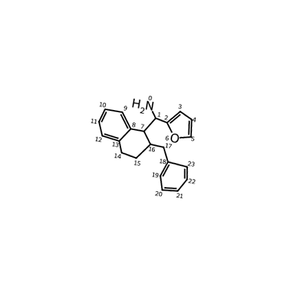 NC(c1ccco1)C1c2ccccc2CCC1Cc1ccccc1